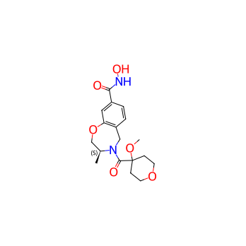 COC1(C(=O)N2Cc3ccc(C(=O)NO)cc3OC[C@@H]2C)CCOCC1